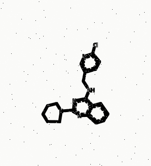 Clc1ccc(CNc2nc(N3CCCCC3)nc3ccccc23)cn1